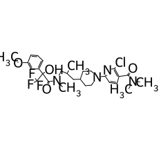 COc1cccc(C(O)(C(=O)N(C)CC(C)CC2CCN(c3ccc(C(=O)N(C)C)c(Cl)n3)CC2)C(F)(F)F)c1